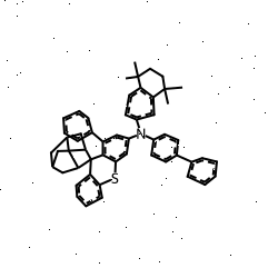 CC1(C)CCC(C)(C)c2cc(N(c3ccc(-c4ccccc4)cc3)c3cc4c(c(-c5ccccc5)c3)C3(c5ccccc5S4)C4CC5CC6CC3C64C5)ccc21